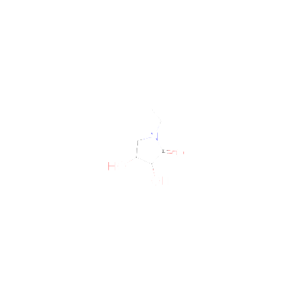 [CH2]CN1CC(O)C(O)C1=O